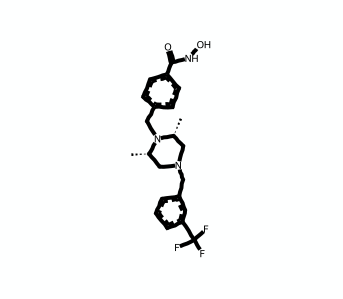 C[C@@H]1CN(Cc2cccc(C(F)(F)F)c2)C[C@H](C)N1Cc1ccc(C(=O)NO)cc1